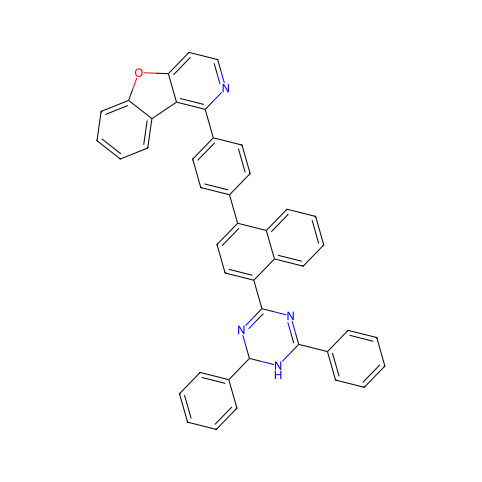 c1ccc(C2=NC(c3ccc(-c4ccc(-c5nccc6oc7ccccc7c56)cc4)c4ccccc34)=NC(c3ccccc3)N2)cc1